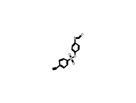 C#Cc1ccc(S(=O)(=O)Oc2ccc(N=C=O)cc2)cc1